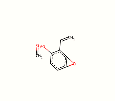 C=Cc1c(O)ccc2c1O2.C=O